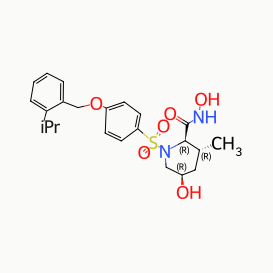 CC(C)c1ccccc1COc1ccc(S(=O)(=O)N2C[C@H](O)C[C@@H](C)[C@@H]2C(=O)NO)cc1